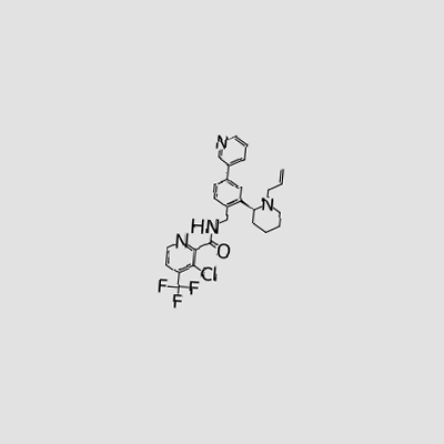 C=CCN1CCCC[C@H]1c1cc(-c2cccnc2)ccc1CNC(=O)c1nccc(C(F)(F)F)c1Cl